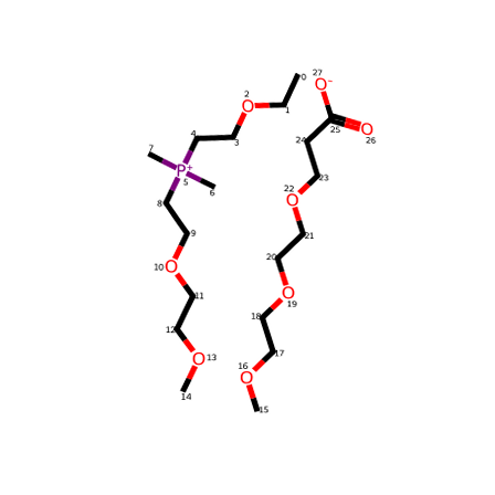 CCOCC[P+](C)(C)CCOCCOC.COCCOCCOCCC(=O)[O-]